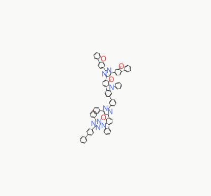 c1ccc(-c2ccc(-c3nc(-c4ccccc4)nc(-n4c5ccccc5c5ccc6c7nc(-c8cccc(-c9ccc%10c%11ccc%12c%13nc(-c%14ccc%15c(c%14)oc%14ccccc%14%15)nc(-c%14ccc%15c(c%14)oc%14ccccc%14%15)c%13oc%12c%11n(-c%11ccccc%11)c%10c9)c8)nc(-c8ccccc8)c7oc6c54)n3)cc2)cc1